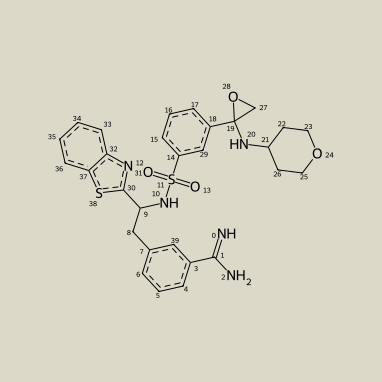 N=C(N)c1cccc(CC(NS(=O)(=O)c2cccc(C3(NC4CCOCC4)CO3)c2)c2nc3ccccc3s2)c1